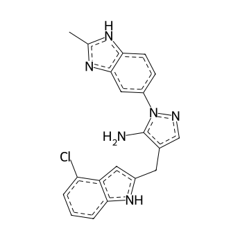 Cc1nc2cc(-n3ncc(Cc4cc5c(Cl)cccc5[nH]4)c3N)ccc2[nH]1